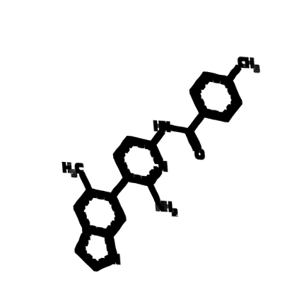 Cc1ccc(C(=O)Nc2ccc(-c3cc4nccn4cc3C)c(N)n2)cc1